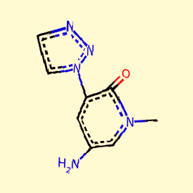 Cn1cc(N)cc(-n2ccnn2)c1=O